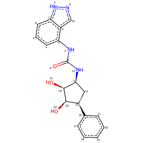 O=C(Nc1cccc2[nH]ncc12)N[C@H]1C[C@@H](c2ccccc2)[C@@H](O)[C@H]1O